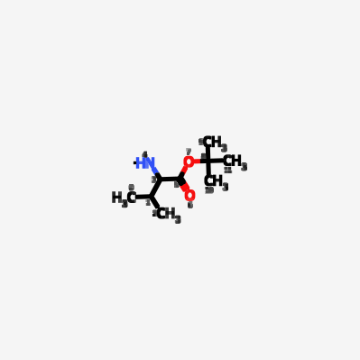 CC(C)C([NH])C(=O)OC(C)(C)C